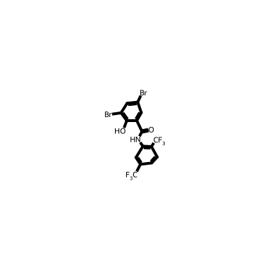 O=C(Nc1cc(C(F)(F)F)ccc1C(F)(F)F)c1cc(Br)cc(Br)c1O